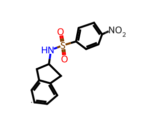 O=[N+]([O-])c1ccc(S(=O)(=O)NC2Cc3c[c]ccc3C2)cc1